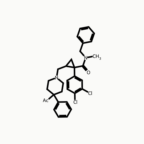 CC(=O)C1(c2ccccc2)CCN(CC2CC2(C(=O)N(C)Cc2ccccc2)c2ccc(Cl)c(Cl)c2)CC1